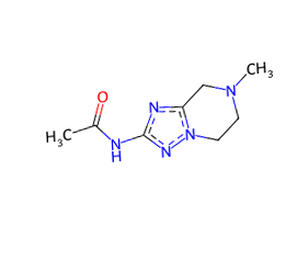 CC(=O)Nc1nc2n(n1)CCN(C)C2